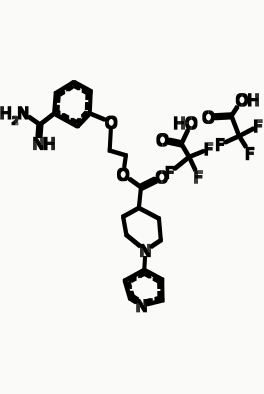 N=C(N)c1cccc(OCCOC(=O)C2CCN(c3ccncc3)CC2)c1.O=C(O)C(F)(F)F.O=C(O)C(F)(F)F